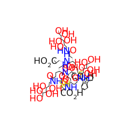 O=C(O)CC[C@H](NC(=O)[C@H](CCC(=O)NC[C@H](O)[C@@H](O)[C@H](O)[C@H](O)CO)CC(=O)CCSCC1c2ccccc2-c2ccccc21)C(=O)C[C@@H](CCC(=O)NC[C@H](O)[C@@H](O)[C@H](O)[C@H](O)CO)C(=O)N[C@@H](CCC(=O)O)C(=O)C[C@@H](CCC(=O)NC[C@H](O)[C@@H](O)[C@H](O)[C@H](O)CO)C(=O)N[C@@H](CS)C(=O)O